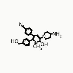 CN1C(c2ccc(CO)cc2)=C(c2ccc(C#N)cc2)C=C(N2CCC(N)CC2)C1O